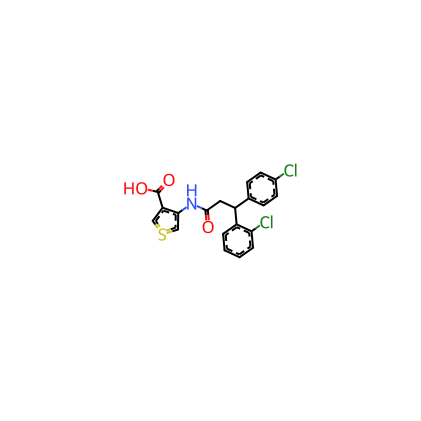 O=C(CC(c1ccc(Cl)cc1)c1ccccc1Cl)Nc1cscc1C(=O)O